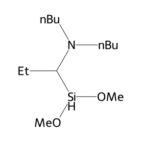 CCCCN(CCCC)C(CC)[SiH](OC)OC